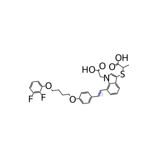 CC(Sc1cn(CC(=O)O)c2c(/C=C/c3ccc(OCCCCOc4cccc(F)c4F)cc3)cccc12)C(=O)O